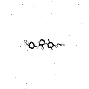 Cc1cc(-n2ccnc(Sc3ccc(OC(F)(F)F)cc3)c2=O)c(C)cc1OCC(C)(C)C